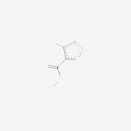 CCOC(=O)c1oncc1C